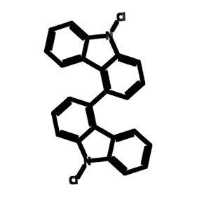 Cln1c2ccccc2c2c(-c3cccc4c3c3ccccc3n4Cl)cccc21